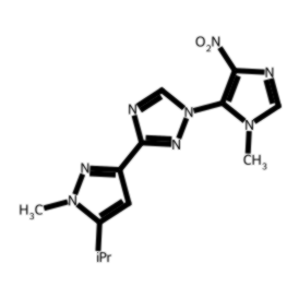 CC(C)c1cc(-c2ncn(-c3c([N+](=O)[O-])ncn3C)n2)nn1C